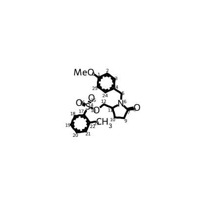 COc1ccc(CN2C(=O)CCC2COS(=O)(=O)c2ccccc2C)cc1